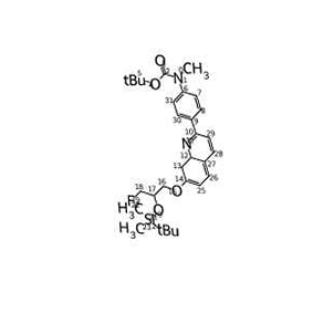 CN(C(=O)OC(C)(C)C)c1ccc(C2=NC3CC(OCC(CF)O[Si](C)(C)C(C)(C)C)=CC=C3C=C2)cc1